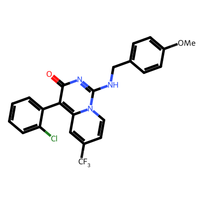 COc1ccc(CNc2nc(=O)c(-c3ccccc3Cl)c3cc(C(F)(F)F)ccn23)cc1